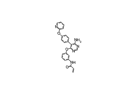 C=CC(=O)Nc1cccc(Oc2ncnc(N)c2-c2ccc(Oc3ccccn3)cc2)c1